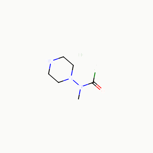 CN(C(=O)Cl)N1CCNCC1.Cl